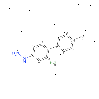 CCCc1ccc(-c2ccc(NN)cc2)cc1.Cl